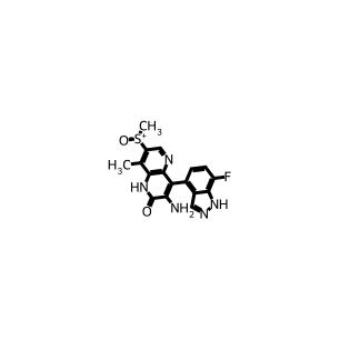 Cc1c([S+](C)[O-])cnc2c(-c3ccc(F)c4[nH]ncc34)c(N)c(=O)[nH]c12